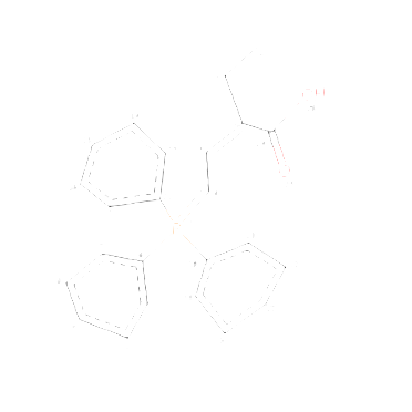 CCC(=CC=P(c1ccccc1)(c1ccccc1)c1ccccc1)C(=O)O